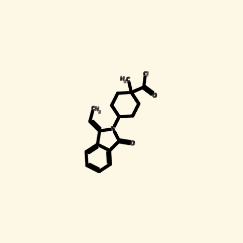 CC=C1c2ccccc2C(=O)N1C1CCC(C)(C(=O)Cl)CC1